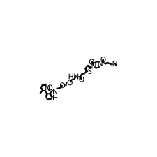 Cc1cccnc1-c1ccccc1C(=O)NCCOCCOCCNC(=O)CCc1ccc(N2CCN(C(=O)C=CCN(C)C)CC2=O)s1